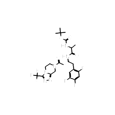 CC(NC(=O)OC(C)(C)C)C(=O)N[C@@H](CC(=O)N1CCn2c(nnc2C(F)(F)F)C1)Cc1cc(F)c(F)cc1F